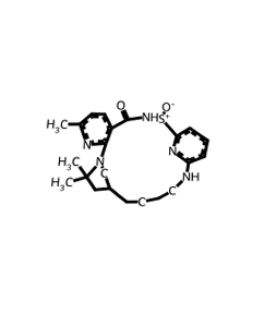 Cc1ccc2c(n1)N1CC(CCCCNc3cccc(n3)[S+]([O-])NC2=O)CC1(C)C